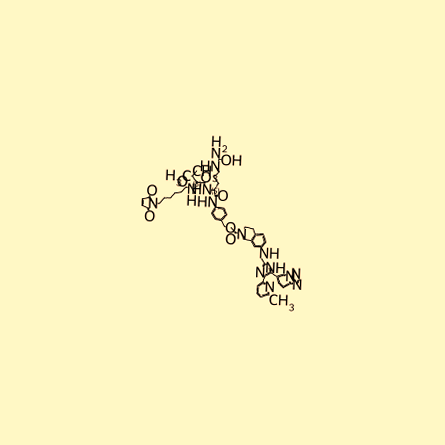 Cc1cccc(-c2nc(CNc3ccc4c(c3)CN(C(=O)OCc3ccc(NC(=O)[C@H](CCCNC(N)O)NC(=O)[C@@H](NC(=O)CCCCCN5C(=O)C=CC5=O)C(C)C)cc3)CC4)[nH]c2-c2ccc3ncnn3c2)n1